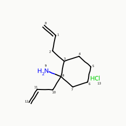 C=CCC1CCCCC1(N)CC=C.Cl